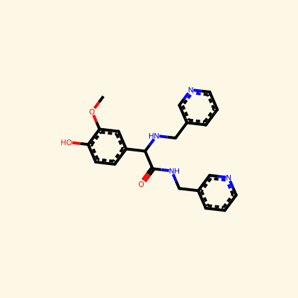 COc1cc(C(NCc2cccnc2)C(=O)NCc2cccnc2)ccc1O